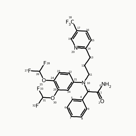 NC(=O)C(c1ccccc1)N(CCCc1ccc(C(F)(F)F)cn1)c1ccc(OC(F)F)c(OC(F)F)c1